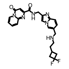 O=C(NCc1cn2cc(CNCCC3CC(F)(F)C3)ccc2n1)c1cc(=O)n2ccccc2n1